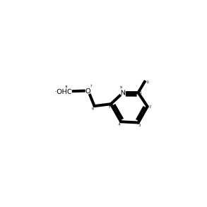 Cc1cccc(CO[C]=O)n1